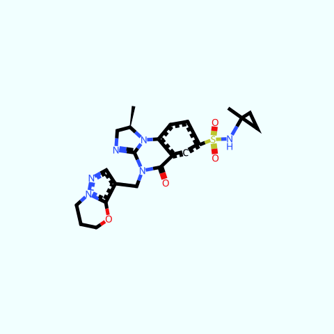 C[C@@H]1CN=C2N(Cc3cnn4c3OCCC4)C(=O)c3cc(S(=O)(=O)NC4(C)CC4)ccc3N21